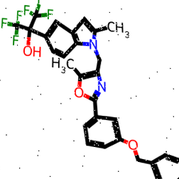 Cc1oc(-c2cccc(OCc3ccccc3)c2)nc1Cn1c(C)cc2cc(C(O)(C(F)(F)F)C(F)(F)F)ccc21